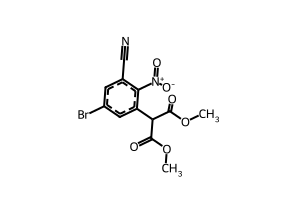 COC(=O)C(C(=O)OC)c1cc(Br)cc(C#N)c1[N+](=O)[O-]